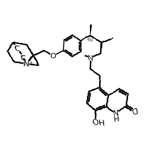 CC(CN(C)CCc1ccc(O)c2[nH]c(=O)ccc12)[C@H](C)c1ccc(OCC23CC4CC[N+]2(CC4)C3)cc1